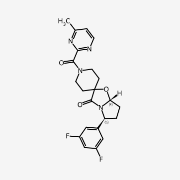 Cc1ccnc(C(=O)N2CCC3(CC2)O[C@@H]2CC[C@@H](c4cc(F)cc(F)c4)N2C3=O)n1